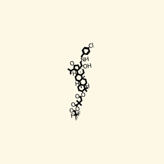 CC(C)C1=C2[C@H]3CC[C@@H]4[C@@]5(C)CC[C@H](OC(=O)CC(C)(C)C(=O)OC(=O)C(F)(F)F)C(C)(C)[C@@H]5CC[C@@]4(C)[C@]3(C)CC[C@@]2([C@@H](O)CNCc2ccc(Cl)cc2)CC1=O